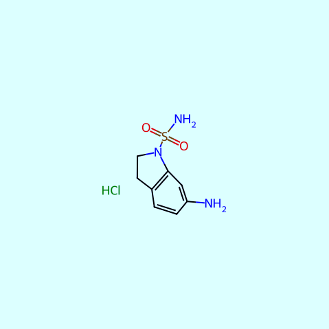 Cl.Nc1ccc2c(c1)N(S(N)(=O)=O)CC2